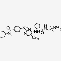 CN1CCC(N(C)C(=O)c2ccc(Nc3ncc(C(F)(F)F)c(N[C@@H]4CCC[C@@H]4C(=O)NCC(C)(C)N)n3)cc2)CC1